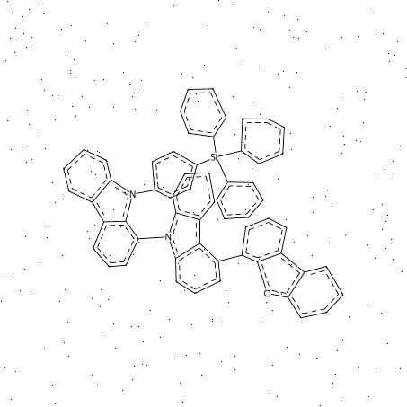 c1ccc([Si](c2ccccc2)(c2ccccc2)c2ccc(-n3c4ccccc4c4cccc(-n5c6ccccc6c6c(-c7cccc8c7oc7ccccc78)cccc65)c43)cc2)cc1